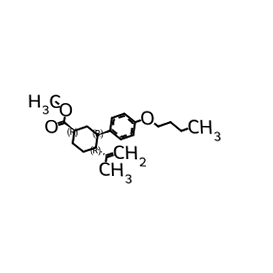 C=C(C)[C@@H]1CC[C@@H](C(=O)OC)C[C@H]1c1ccc(OCCCC)cc1